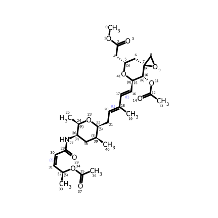 COC(=O)C[C@@H]1C[C@@]2(CO2)[C@H](OC(C)=O)[C@@H](/C=C/C(C)=C/C[C@@H]2O[C@H](C)[C@H](NC(=O)/C=C\[C@H](C)OC(C)=O)C[C@@H]2C)O1